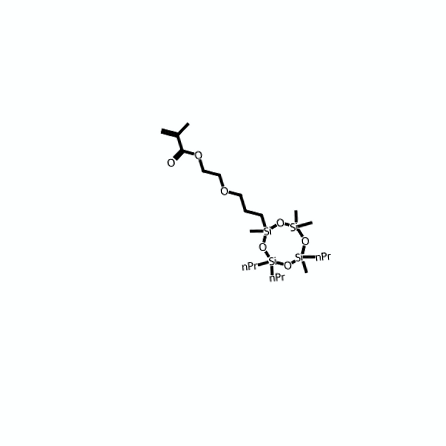 C=C(C)C(=O)OCCOCCC[Si]1(C)O[Si](C)(C)O[Si](C)(CCC)O[Si](CCC)(CCC)O1